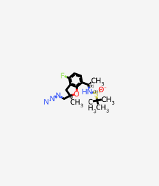 C[C@@H](N[S@+]([O-])C(C)(C)C)c1ccc(F)c2c1O[C@@](C)(CN=[N+]=[N-])C2